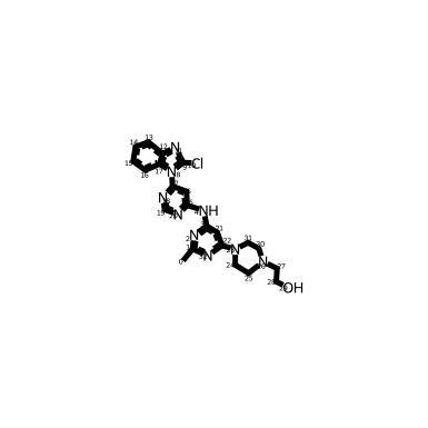 Cc1nc(Nc2cc(-n3c(Cl)nc4ccccc43)ncn2)cc(N2CCN(CCO)CC2)n1